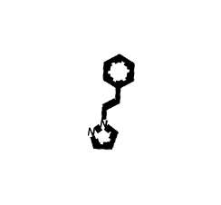 C(=C\n1cccn1)/c1ccccc1